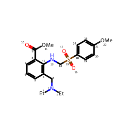 CCN(CC)Cc1cccc(C(=O)OC)c1NCS(=O)(=O)c1ccc(OC)cc1